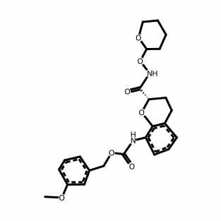 COc1cccc(COC(=O)Nc2cccc3c2O[C@H](C(=O)NOC2CCCCO2)CC3)c1